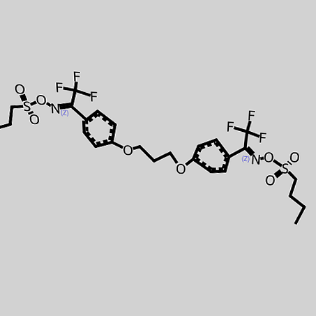 CCCCS(=O)(=O)O/N=C(/c1ccc(OCCCOc2ccc(/C(=N/OS(=O)(=O)CCC)C(F)(F)F)cc2)cc1)C(F)(F)F